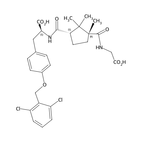 CC1(C)[C@@H](C(=O)N[C@@H](Cc2ccc(OCc3c(Cl)cccc3Cl)cc2)C(=O)O)CC[C@@]1(C)C(=O)NCC(=O)O